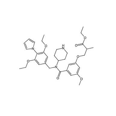 CCOC(=O)C(C)COc1cc(OC)cc(C(=O)N(Cc2cc(OCC)c(-n3cccc3)c(OCC)c2)C2CCNCC2)c1